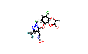 C[C@H](Oc1cc(Oc2c(C=NO)c(C(F)F)nn2C)c(Cl)cc1Cl)C(=O)O